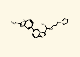 Nc1nc2cc(-c3ccc4ncc(C(O)NCCCN5CCCC5)n4c3)ccc2o1